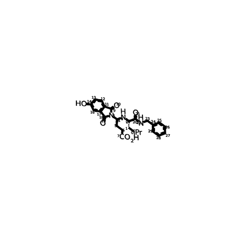 CC(C)C[C@H](NC(CCC(=O)O)N1C(=O)c2ccc(O)cc2C1=O)C(=O)NCc1ccccc1